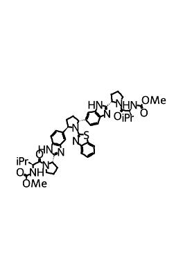 COC(=O)N[C@H](C(=O)N1CCC[C@H]1c1nc2cc([C@H]3CC[C@H](c4ccc5nc([C@@H]6CCCN6C(=O)[C@@H](NC(=O)OC)C(C)C)[nH]c5c4)N3c3nc4ccccc4s3)ccc2[nH]1)C(C)C